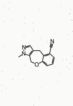 Cn1ncc2c1COc1cccc(C#N)c1C2